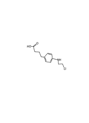 O=C(O)CCCc1ccc(NCCCl)cc1